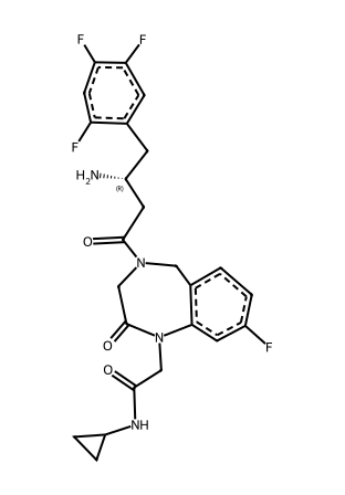 N[C@@H](CC(=O)N1CC(=O)N(CC(=O)NC2CC2)c2cc(F)ccc2C1)Cc1cc(F)c(F)cc1F